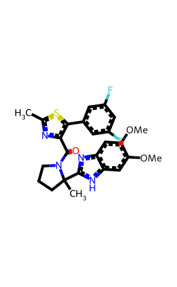 COc1cc2nc(C3(C)CCCN3C(=O)c3nc(C)sc3-c3cc(F)cc(F)c3)[nH]c2cc1OC